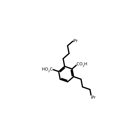 CC(C)CCCc1ccc(C(=O)O)c(CCCC(C)C)c1C(=O)O